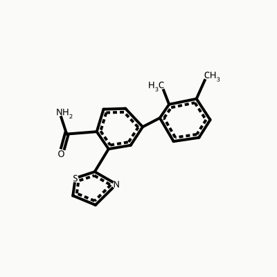 Cc1cccc(-c2ccc(C(N)=O)c(-c3nccs3)c2)c1C